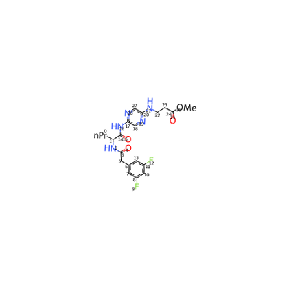 CCCC(NC(=O)Cc1cc(F)cc(F)c1)C(=O)Nc1cnc(NCCC(=O)OC)cn1